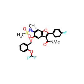 CNC(=O)c1c(-c2ccc(F)cc2)oc2cc(N(C)S(C)(=O)=O)c(OCc3ccccc3OC(F)F)cc12